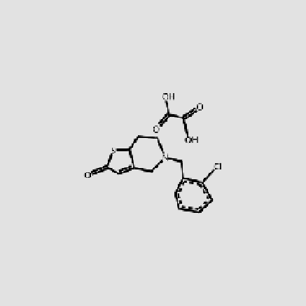 O=C(O)C(=O)O.O=C1C=C2CN(Cc3ccccc3Cl)CCC2S1